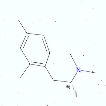 Cc1ccc(C[C@@H](C)N(C)C)c(C)c1